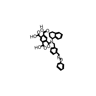 O=C(O)c1cc(C(=O)O)c(C(=O)N(Cc2cccc(/C=N/Oc3ccccc3)c2)[C@H]2CCCc3ccccc32)cc1C(=O)O